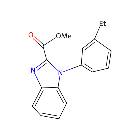 CCc1cccc(-n2c(C(=O)OC)nc3ccccc32)c1